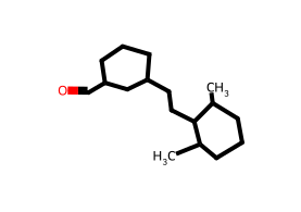 CC1CCCC(C)C1CCC1CCCC(C=O)C1